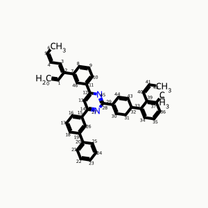 C=C/C(=C\C=C/C)c1cccc(-c2cc(-c3cccc(-c4ccccc4)c3)nc(C3=CCC(c4cccc(C)c4/C=C\C)C=C3)n2)c1